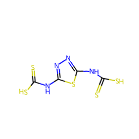 S=C(S)Nc1nnc(NC(=S)S)s1